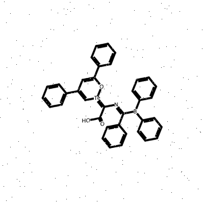 O=C(O)C(N=C(B(c1ccccc1)c1ccccc1)c1ccccc1)=[Te]1C=C(c2ccccc2)C=C(c2ccccc2)O1